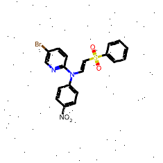 O=[N+]([O-])c1ccc(N(C=CS(=O)(=O)c2ccccc2)c2ccc(Br)cn2)cc1